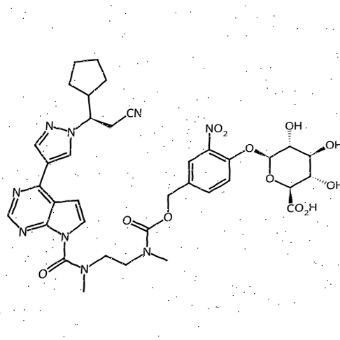 CN(CCN(C)C(=O)n1ccc2c(-c3cnn([C@H](CC#N)C4CCCC4)c3)ncnc21)C(=O)OCc1ccc(O[C@@H]2O[C@H](C(=O)O)[C@@H](O)[C@H](O)[C@H]2O)c([N+](=O)[O-])c1